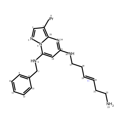 CC(C)c1cnn2c(NCc3ccccc3)cc(NCC/C=C/CCN)nc12